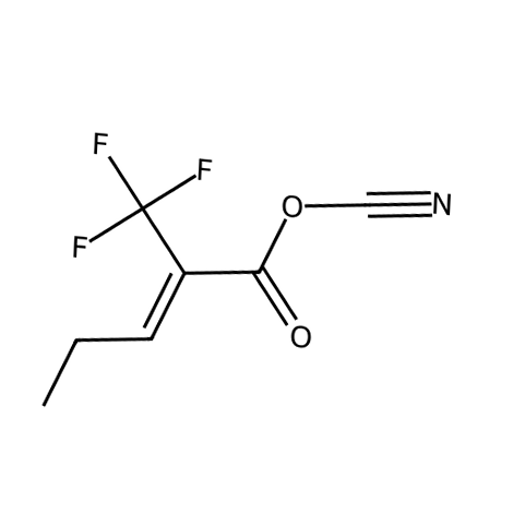 CCC=C(C(=O)OC#N)C(F)(F)F